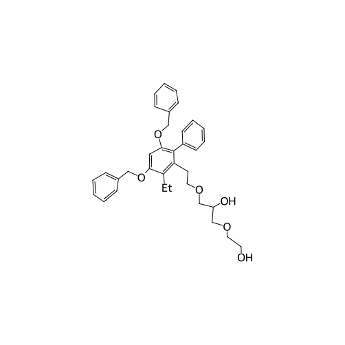 CCc1c(OCc2ccccc2)cc(OCc2ccccc2)c(-c2ccccc2)c1CCOCC(O)COCCO